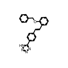 C(=Cc1ccccc1OCc1ccccc1)c1ccc(-c2nnn[nH]2)cc1